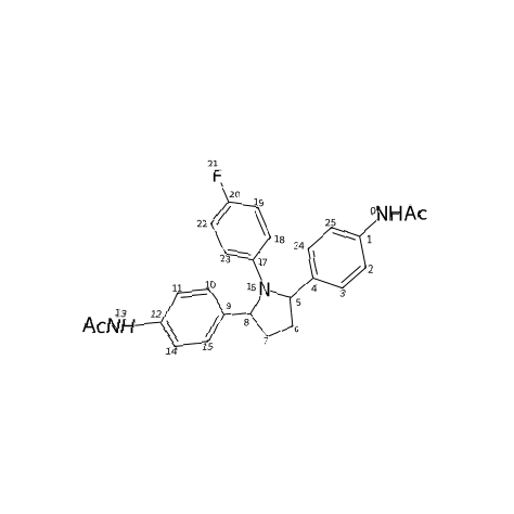 CC(=O)Nc1ccc(C2CCC(c3ccc(NC(C)=O)cc3)N2c2ccc(F)cc2)cc1